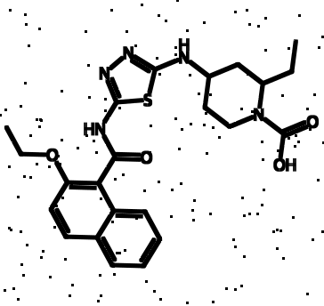 CCOc1ccc2ccccc2c1C(=O)Nc1nnc(NC2CCN(C(=O)O)C(CC)C2)s1